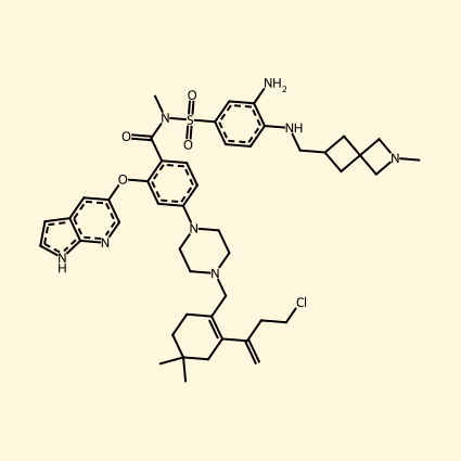 C=C(CCCl)C1=C(CN2CCN(c3ccc(C(=O)N(C)S(=O)(=O)c4ccc(NCC5CC6(C5)CN(C)C6)c(N)c4)c(Oc4cnc5[nH]ccc5c4)c3)CC2)CCC(C)(C)C1